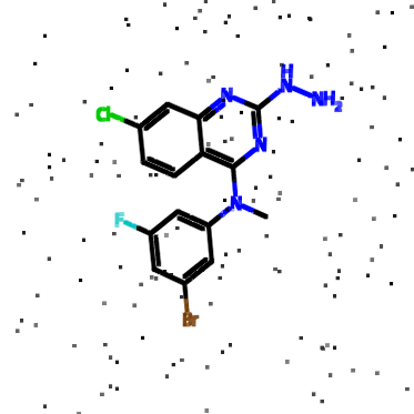 CN(c1cc(F)cc(Br)c1)c1nc(NN)nc2cc(Cl)ccc12